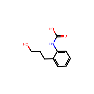 O=C(O)Nc1ccccc1CCCO